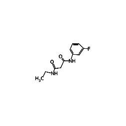 CCNC(=O)CC(=O)Nc1cccc(F)c1